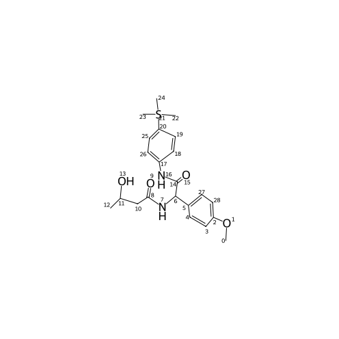 COc1ccc(C(NC(=O)CC(C)O)C(=O)Nc2ccc(S(C)(C)C)cc2)cc1